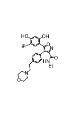 CCNC(=O)c1noc(-c2cc(C(C)C)c(O)cc2O)c1-c1ccc(CCN2CCOCC2)cc1